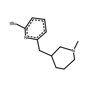 CN1CCCC(Cc2cccc(C(C)(C)C)n2)C1